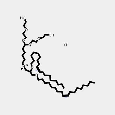 CCCCCCCC/C=C\CCCCCCCCOCC(C[N+](C)(C)CCCCCC(OCCOCCO)OCCOCCO)OCCCCCCCC/C=C\CCCCCCCC.[Cl-]